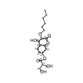 CCCCCCOc1c(O)c2ccc(OC(=O)C(O)CO)cc2oc1=O